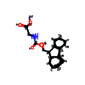 O=C(CNC(=O)OCC1c2ccccc2-c2ccccc21)OI